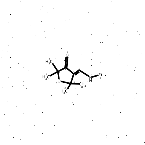 CCNC=C1C(=O)C(C)(C)OC1(C)C